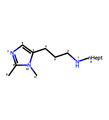 CCCCCCCNCCCc1cnc(C)n1C